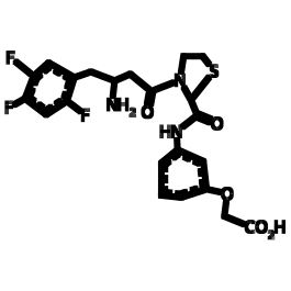 NC(CC(=O)N1CCSC1C(=O)Nc1cccc(OCC(=O)O)c1)Cc1cc(F)c(F)cc1F